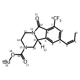 C/C=C\c1cc2c(c(C(F)(F)F)c1)C(=O)N1CCN(C(=O)OC(C)(C)C)C[C@@H]21